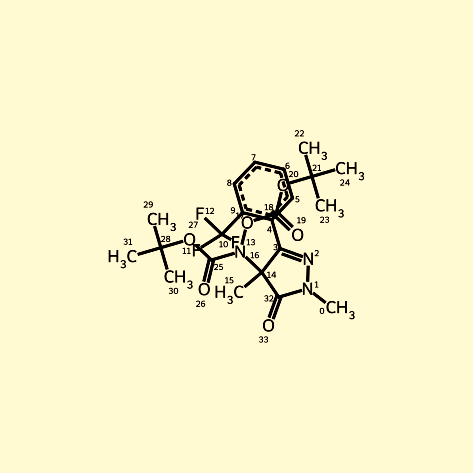 CN1N=C(c2ccccc2C(F)(F)F)C(C)(N(OC(=O)OC(C)(C)C)C(=O)OC(C)(C)C)C1=O